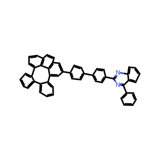 c1ccc(-c2nc(-c3ccc(-c4ccc(-c5cc6ccc7cccc8c9ccccc9c9ccccc9c(c5)c6c78)cc4)cc3)nc3ccccc23)cc1